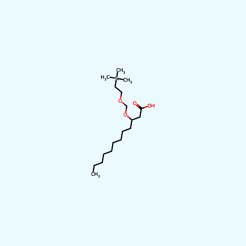 CCCCCCCCCC(CC(=O)O)OCOCC[Si](C)(C)C